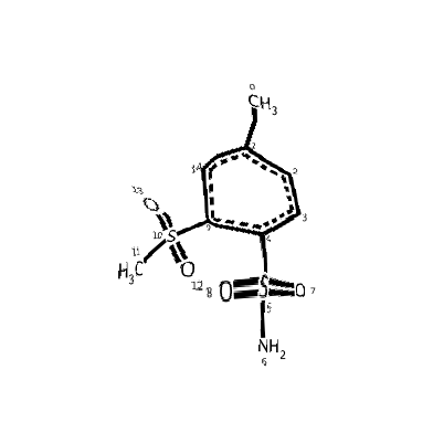 Cc1ccc(S(N)(=O)=O)c(S(C)(=O)=O)c1